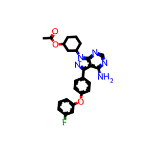 CC(=O)OC1CCCC(n2nc(-c3ccc(Oc4cccc(F)c4)cc3)c3c(N)ncnc32)C1